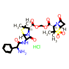 CC1(C)S[C@@H]2C(NC(=O)C(N)c3ccccc3)C(=O)N2[C@H]1C(=O)OCOC(=O)[C@@H]1N2C(=O)C[C@H]2S(=O)(=O)C1(C)C.Cl